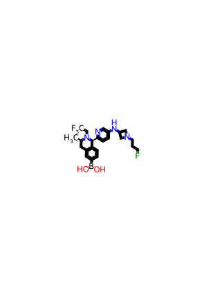 C[C@@H]1Cc2cc(B(O)O)ccc2[C@H](c2ccc(NC3CN(CCCF)C3)cn2)N1CC(F)(F)F